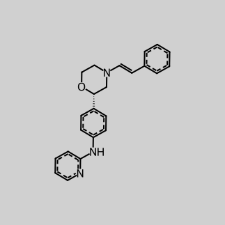 C(=CN1CCO[C@@H](c2ccc(Nc3ccccn3)cc2)C1)c1ccccc1